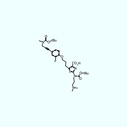 CN(C)CCCN(C(=O)OC(C)(C)C)c1nc(C(=O)O)c(CCCOc2ccc(C#CCN(C)C(=O)OC(C)(C)C)cc2F)s1